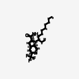 CCCCCCCCC(CC)n1c(C(N)=O)cc2cc(C(F)(F)F)ncc21